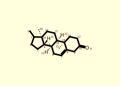 CC1CC[C@H]2[C@@H]3CC=C4CC(=O)CC[C@]4(C)[C@@H]3CC[C@]12C